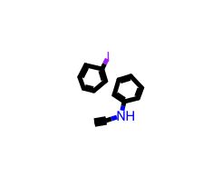 C#CNc1ccccc1.Ic1ccccc1